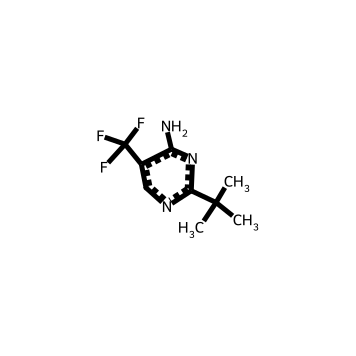 CC(C)(C)c1ncc(C(F)(F)F)c(N)n1